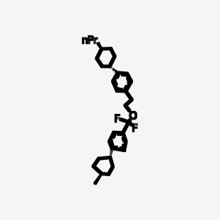 CCC[C@H]1CC[C@H](c2ccc(CCOC(F)(F)c3ccc([C@H]4CC[C@H](C)CC4)cc3)cc2)CC1